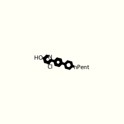 CCCCCC1CCC(c2ccc(-c3ncc(O)cc3Cl)cc2)CC1